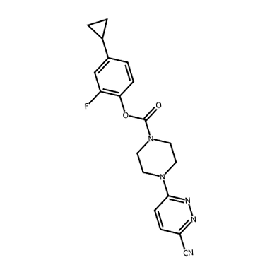 N#Cc1ccc(N2CCN(C(=O)Oc3ccc(C4CC4)cc3F)CC2)nn1